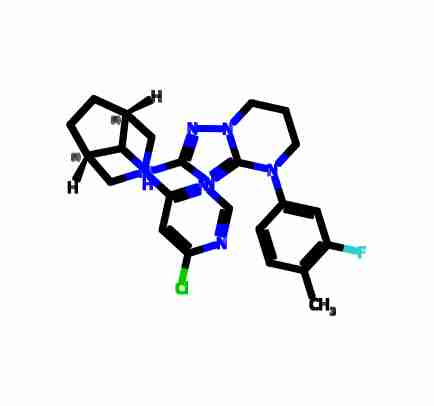 Cc1ccc(N2CCCn3nc(NC4[C@@H]5CC[C@H]4CN(c4cc(Cl)ncn4)C5)nc32)cc1F